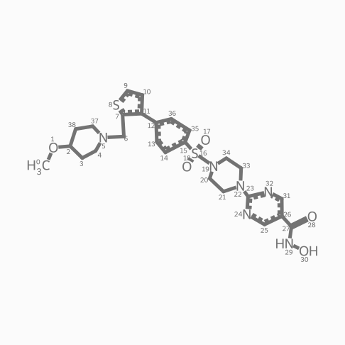 COC1CCN(Cc2sccc2-c2ccc(S(=O)(=O)N3CCN(c4ncc(C(=O)NO)cn4)CC3)cc2)CC1